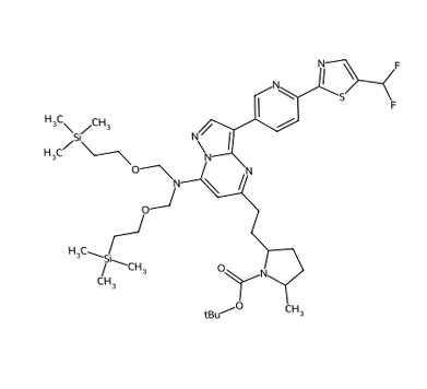 CC1CCC(CCc2cc(N(COCC[Si](C)(C)C)COCC[Si](C)(C)C)n3ncc(-c4ccc(-c5ncc(C(F)F)s5)nc4)c3n2)N1C(=O)OC(C)(C)C